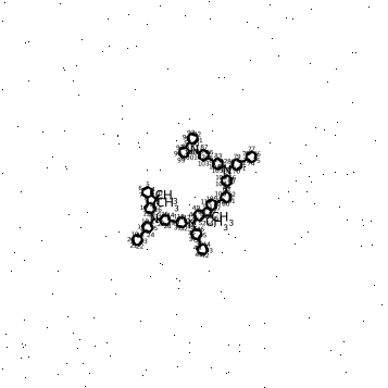 CC1(C)c2ccccc2-c2ccc(N(c3ccc(-c4ccccc4)cc3)c3ccc(-c4ccc(N(c5ccc(-c6ccccc6)cc5)c5ccc6c(c5)C(C)(C)c5cc(-c7cccc(-c8ccc(N(c9ccc(-c%10ccccc%10)cc9)c9ccc(-c%10ccc(-n%11c%12ccccc%12c%12ccccc%12%11)cc%10)cc9)cc8)c7)ccc5-6)cc4)cc3)cc21